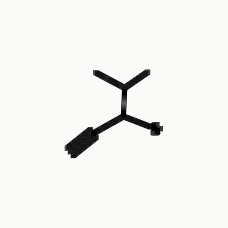 C#CC([S])C(C)C